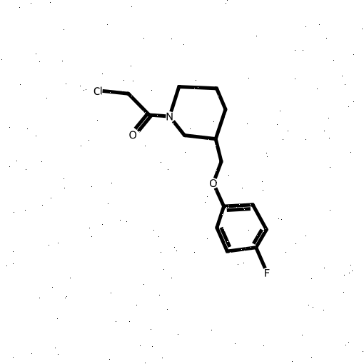 O=C(CCl)N1CCCC(COc2ccc(F)cc2)C1